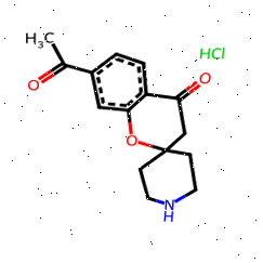 CC(=O)c1ccc2c(c1)OC1(CCNCC1)CC2=O.Cl